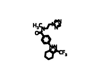 CN(CCn1cncn1)C(=O)c1ccc(-n2nc(C(F)(F)F)c3c2CCCC3)cc1